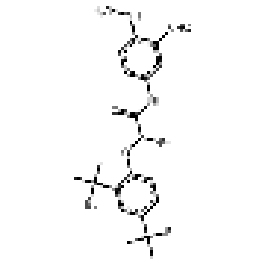 CCC(Oc1ccc(C(C)(C)CC)cc1C(C)(C)CC)C(=O)Nc1ccc(NN)c(C=O)c1